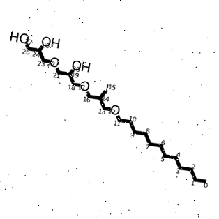 CCCCCCCCCCCCOCC(I)COCC(O)COCC(O)CO